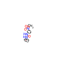 CCN(C(=O)O)c1cccc(NC(=O)NC23CC4CC(CC(C4)C2)C3)c1